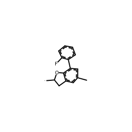 [CH2]C1Cc2cc(C)cc(-c3ccccc3F)c2O1